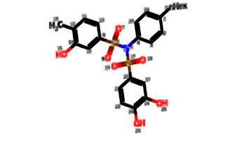 CCCCCCc1ccc(N(S(=O)(=O)c2ccc(C)c(O)c2)S(=O)(=O)c2ccc(O)c(O)c2)cc1